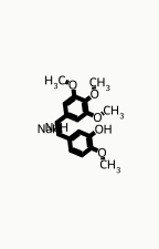 COc1ccc(/C=C\c2cc(OC)c(OC)c(OC)c2)cc1O.[NaH].[NaH]